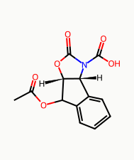 CC(=O)OC1c2ccccc2[C@@H]2[C@H]1OC(=O)N2C(=O)O